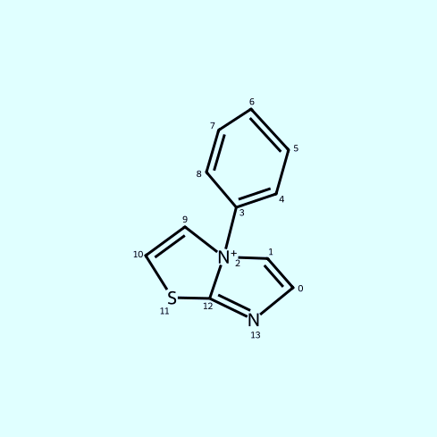 C1=C[N+]2(c3ccccc3)C=CSC2=N1